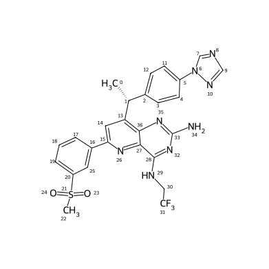 C[C@H](c1ccc(-n2cncn2)cc1)c1cc(-c2cccc(S(C)(=O)=O)c2)nc2c(NCC(F)(F)F)nc(N)nc12